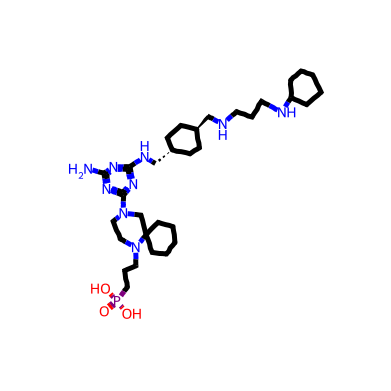 Nc1nc(NC[C@H]2CC[C@H](CNCCCNC3CCCCC3)CC2)nc(N2CCN(CCCP(=O)(O)O)C3(CCCCC3)C2)n1